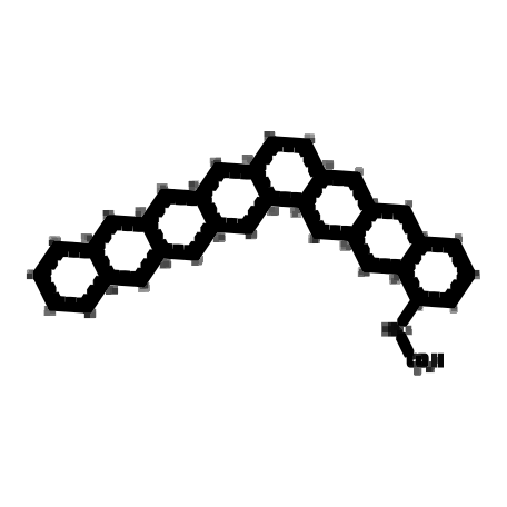 O=C(O)Nc1cccc2cc3cc4ccc5cc6cc7cc8ccccc8cc7cc6cc5c4cc3cc12